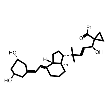 CCC(=O)C1([C@@H](O)/C=C/C(C)(C)[C@H]2CC[C@H]3/C(=C/C=C4C[C@@H](O)C[C@H](O)C4)CCC[C@]23C)CC1